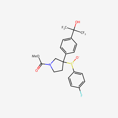 COC(=O)N1CCC(c2ccc(C(O)(C(F)(F)F)C(F)(F)F)cc2)([S+]([O-])c2ccc(F)cc2)C1